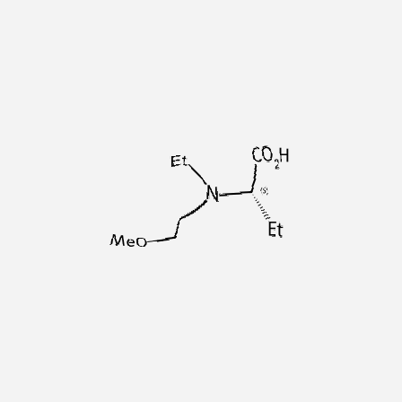 CC[C@@H](C(=O)O)N(CC)COC